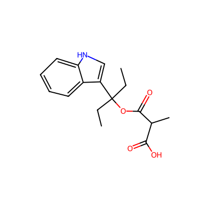 CCC(CC)(OC(=O)C(C)C(=O)O)c1c[nH]c2ccccc12